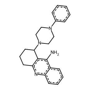 Nc1c2c(nc3ccccc13)CCCC2N1CCN(c2ccccc2)CC1